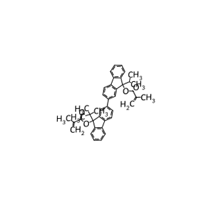 C=C(C)C(=O)OC1(C(C)C)c2ccccc2-c2ccc(-c3ccc4c(c3)C(OC(=O)C(=C)C)(C(C)(C)C)c3ccccc3-4)cc21